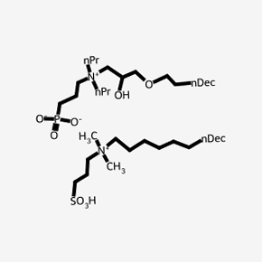 CCCCCCCCCCCCCCCC[N+](C)(C)CCCS(=O)(=O)O.CCCCCCCCCCCCOCC(O)C[N+](CCC)(CCC)CCCP(=O)([O-])[O-]